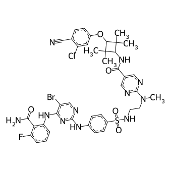 CN(CCNS(=O)(=O)c1ccc(Nc2ncc(Br)c(Nc3cccc(F)c3C(N)=O)n2)cc1)c1ncc(C(=O)NC2C(C)(C)C(Oc3ccc(C#N)c(Cl)c3)C2(C)C)cn1